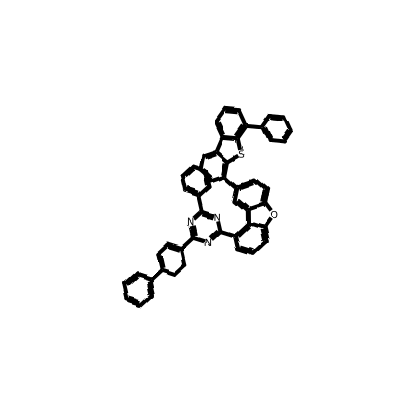 C1=C(c2ccccc2)CCC(c2nc(-c3ccccc3)nc(-c3cccc4oc5ccc(-c6cccc7c6sc6c(-c8ccccc8)cccc67)cc5c34)n2)=C1